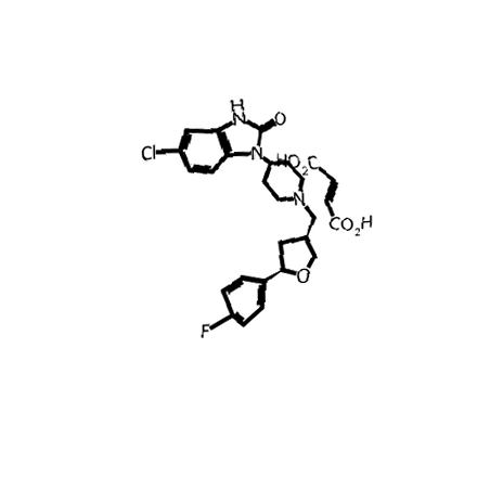 O=C(O)C=CC(=O)O.O=c1[nH]c2cc(Cl)ccc2n1C1CCN(C[C@H]2CO[C@@H](c3ccc(F)cc3)C2)CC1